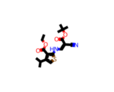 CCOC(=O)c1c(C(C)C)csc1NC=C(C#N)C(=O)OC(C)(C)C